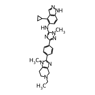 CCN1CCc2c(nc(-c3ccc(-c4nc(Nc5ccc6[nH]ncc6c5C5CC5)n(C)n4)cc3)n2C)C1